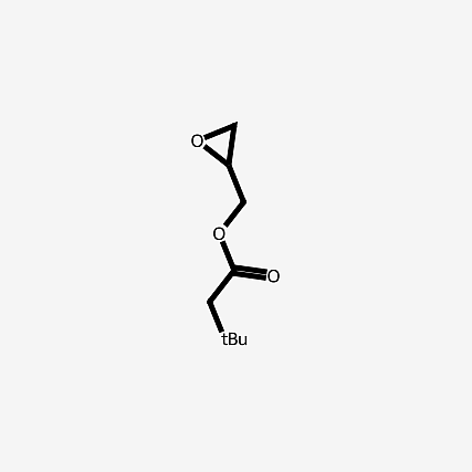 CC(C)(C)CC(=O)OCC1CO1